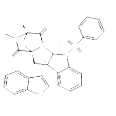 CN1C(=O)[C@@]23C[C@]4(c5c[nH]c6ccccc56)c5ccccc5N(S(=O)(=O)c5ccccc5)[C@@H]4N2C(=O)[C@@H]1S3